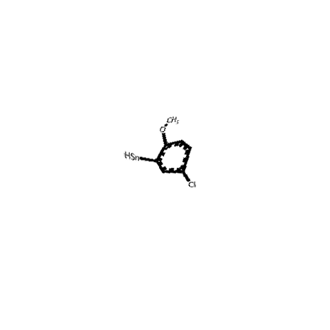 COc1ccc(Cl)c[c]1[SnH]